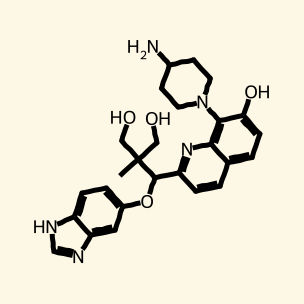 CC(CO)(CO)C(Oc1ccc2[nH]cnc2c1)c1ccc2ccc(O)c(N3CCC(N)CC3)c2n1